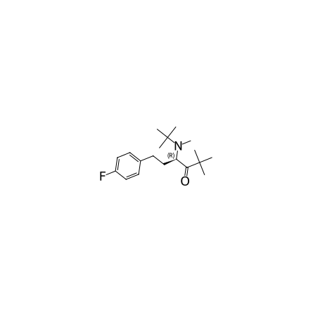 CN([C@H](CCc1ccc(F)cc1)C(=O)C(C)(C)C)C(C)(C)C